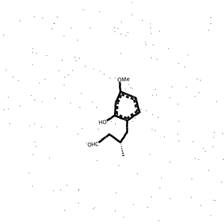 COc1ccc(C[C@H](C)CC=O)c(O)c1